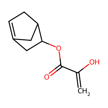 C=C(O)C(=O)OC1CC2=CCC1C2